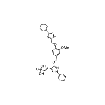 COc1cc(COc2nn(-c3ccccc3)cc2C=CP(=O)(O)O)ccc1OCc1nc(-c2ccccc2)cn1C